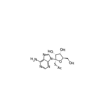 CC(=O)S[C@@]1(n2cnc3c(N)ncnc32)O[C@H](CO)[C@@H](O)[C@H]1O